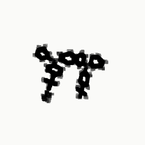 CC(C)(C)c1ccc([S+](c2ccccc2)c2ccccc2)cc1.CC(C)(C)c1ccc([S+](c2ccccc2)c2ccccc2)cc1.[Br-].[Br-]